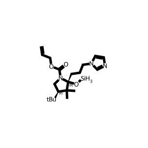 C=CCOC(=O)N1C[C@H](C(C)(C)C)C(C)(C)[C@@]1(CCCn1ccnc1)O[SiH3]